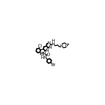 CN1CCN(CCCNc2ncc3cc(-c4c(Cl)cccc4Cl)c(NC(=O)Nc4ccc(Br)cc4)nc3n2)CC1